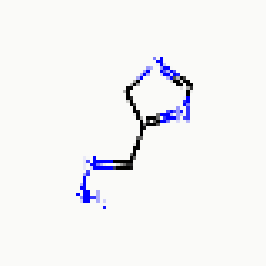 NN=CC1=NC=NC1